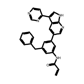 C=CC(=O)Nc1cc(Cc2ccccc2)cc(-c2cnc3[nH]cc(-c4ccncn4)c3c2)c1